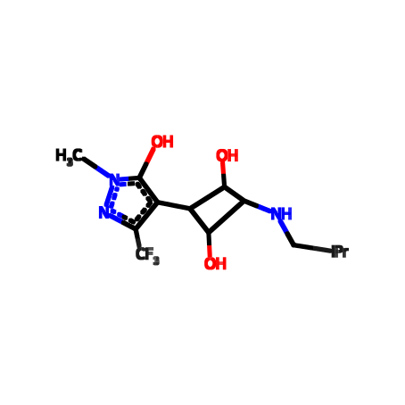 CC(C)CNC1C(O)C(c2c(C(F)(F)F)nn(C)c2O)C1O